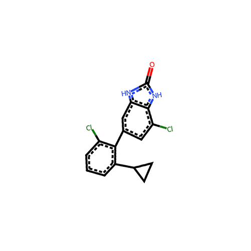 O=c1[nH]c2cc(-c3c(Cl)cccc3C3CC3)cc(Cl)c2[nH]1